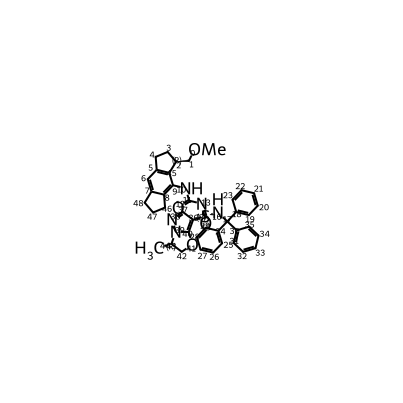 COC[C@@H]1CCc2cc3c(c(NC(=O)N=[S@@](=O)(NC(c4ccccc4)(c4ccccc4)c4ccccc4)c4cnn5c4OC[C@H]5C)c21)CCC3